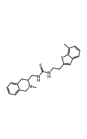 Cc1cccc2cc(CCNC(=S)NCC3Cc4ccccc4CN3C)sc12